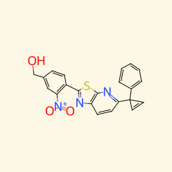 O=[N+]([O-])c1cc(CO)ccc1-c1nc2ccc(C3(c4ccccc4)C=C3)nc2s1